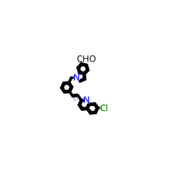 O=Cc1ccc2ccn(Cc3cccc(/C=C/c4ccc5ccc(Cl)cc5n4)c3)c2c1